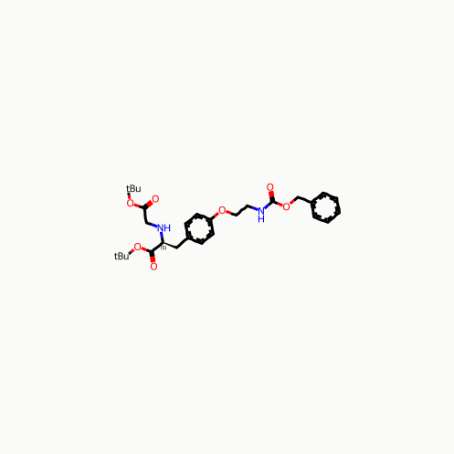 CC(C)(C)OC(=O)CN[C@@H](Cc1ccc(OCCNC(=O)OCc2ccccc2)cc1)C(=O)OC(C)(C)C